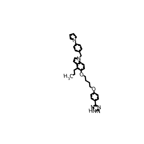 CCCc1c(OCCCCOc2ccc(-c3nn[nH]n3)cc2)ccc2c1ccn2Cc1ccc(-n2cccc2)cc1